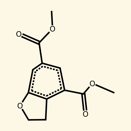 COC(=O)c1cc2c(c(C(=O)OC)c1)CCO2